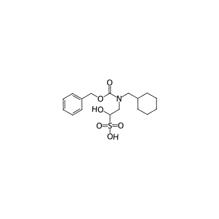 O=C(OCc1ccccc1)N(CC1CCCCC1)CC(O)S(=O)(=O)O